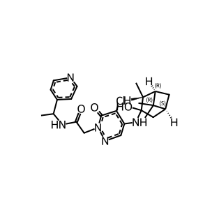 CC(NC(=O)Cn1ncc(NC2(O)C[C@@H]3C[C@H]([C@H]2C)C3(C)C)c(Cl)c1=O)c1ccncc1